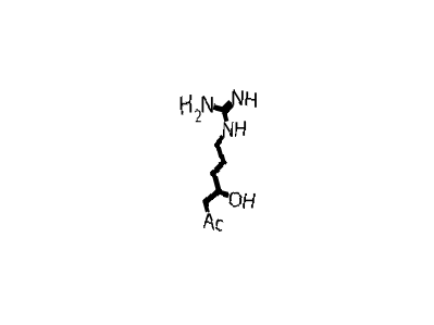 CC(=O)CC(O)CCCNC(=N)N